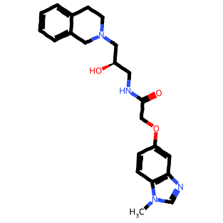 Cn1cnc2cc(OCC(=O)NC[C@@H](O)CN3CCc4ccccc4C3)ccc21